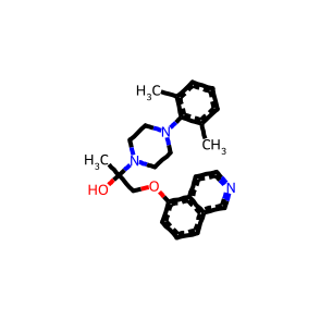 Cc1cccc(C)c1N1CCN(C(C)(O)COc2cccc3cnccc23)CC1